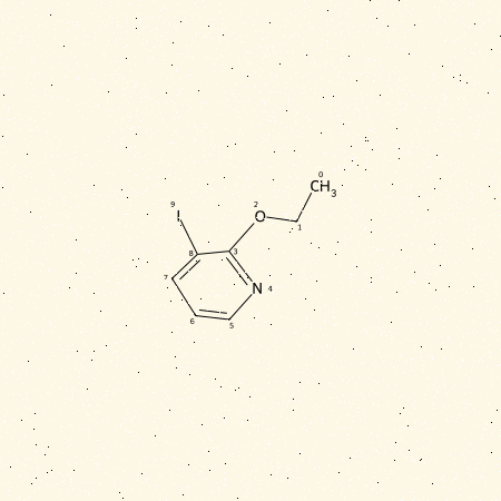 CCOc1ncccc1I